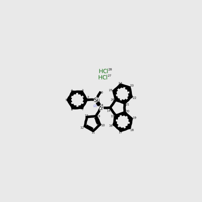 C/[Si](c1ccccc1)=[Zr](/[C]1=CC=CC1)[CH]1c2ccccc2-c2ccccc21.Cl.Cl